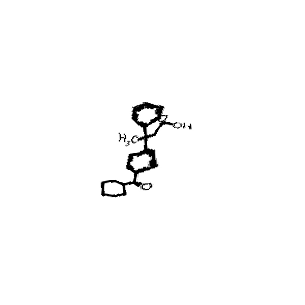 CC(CC(=O)O)(c1ccccc1)c1ccc(C(=O)C2CCCCC2)cc1